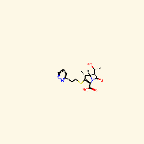 C[C@@H](O)[C@H]1C(=O)N2C(C(=O)O)=C(SCCc3cccnn3)[C@H](C)[C@H]12